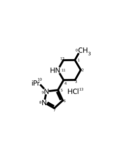 CC1CCC(c2ccnn2C(C)C)NC1.Cl